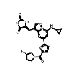 O=C1NC(=O)/C(=C/c2cnn3c(NC4CC4)cc(-c4ccc(C(=O)N5CC[C@@H](F)C5)s4)nc23)N1